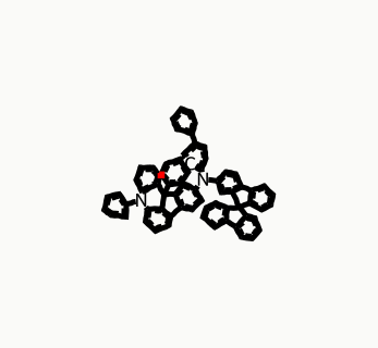 c1ccc(-c2ccc(N(c3ccc4c(c3)C3(c5ccccc5-c5ccccc53)c3ccccc3-4)c3ccc4c(c3)C3(c5ccccc5)c5ccccc5N(c5ccccc5)c5cccc-4c53)cc2)cc1